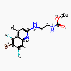 CCc1cc(NCCNC(=O)OC(C)(C)C)nc2cc(F)c(Br)c(F)c12